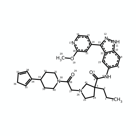 CCCC1(C(=O)Nc2ccc3[nH]nc(-c4ccnc(OC)c4)c3c2)CCN(CC(=O)N2CCC(C3=CCC=C3)CC2)C1